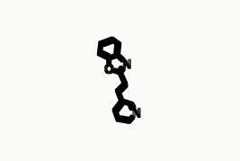 C(=Cc1nc2ccccc2o1)c1cccnc1